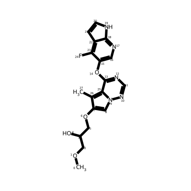 COCC(O)COc1cn2ncnc(Oc3cnc4[nH]ccc4c3F)c2c1C